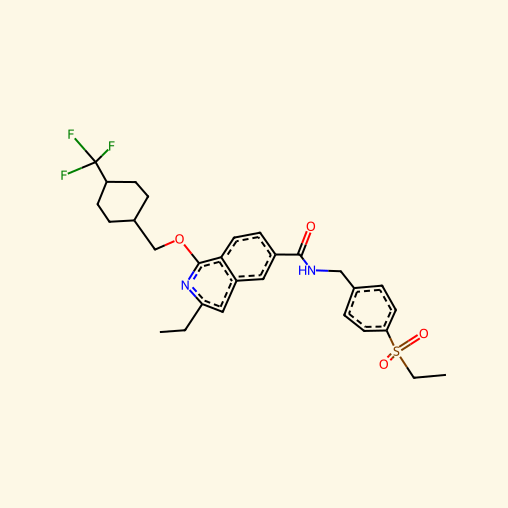 CCc1cc2cc(C(=O)NCc3ccc(S(=O)(=O)CC)cc3)ccc2c(OCC2CCC(C(F)(F)F)CC2)n1